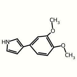 COc1ccc(-c2cc[nH]c2)cc1OC